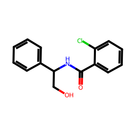 O=C(NC(CO)c1ccccc1)c1ccccc1Cl